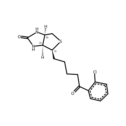 O=C1N[C@H]2[C@H](CS[C@H]2CCCCC(=O)c2ccc[c]c2Cl)N1